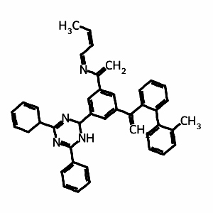 C=C(/N=C\C=C/C)c1cc(C(=C)c2ccccc2-c2ccccc2C)cc(C2N=C(C3C=CC=CC3)N=C(c3ccccc3)N2)c1